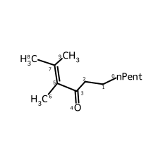 CCCCCCCC(=O)C(C)=C(C)C